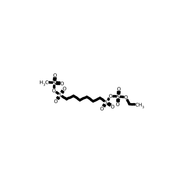 CCOS(=O)(=O)OS(=O)(=O)CCCCCCS(=O)(=O)OS(C)(=O)=O